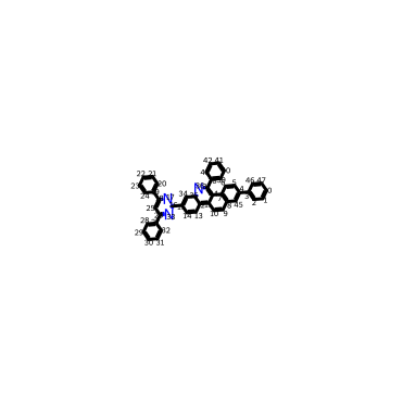 c1ccc(-c2ccc3c(ccc4c5ccc(-c6nc(-c7ccccc7)cc(-c7ccccc7)n6)cc5nc(-c5ccccc5)c34)c2)cc1